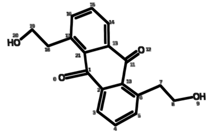 O=C1c2cccc(CCO)c2C(=O)c2cccc(CCO)c21